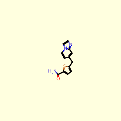 NC(=O)c1ccc(Cc2ccn3ccnc3c2)s1